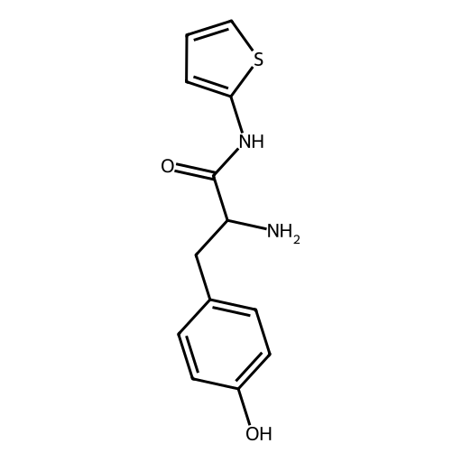 NC(Cc1ccc(O)cc1)C(=O)Nc1cccs1